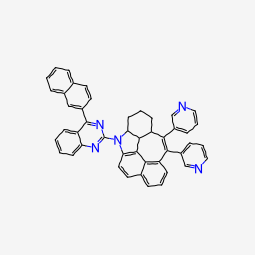 c1cncc(C2=C(c3cccnc3)C3CCCC4C3c3c(ccc5cccc2c35)N4c2nc(-c3ccc4ccccc4c3)c3ccccc3n2)c1